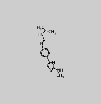 CNc1nc(-c2ccc(/N=C/NC(C)C)cc2)cs1